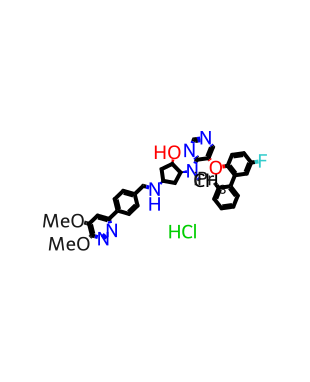 COc1cc(-c2ccc(CN[C@H]3C[C@@H](O)[C@@H](N(C)c4ncncc4Oc4ccc(F)cc4-c4ccccc4C(C)C)C3)cc2)nnc1OC.Cl